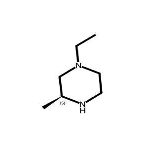 CCN1CCN[C@@H](C)C1